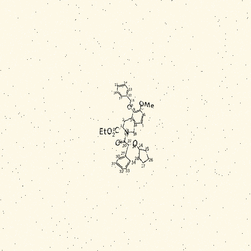 CCOC(=O)[C@@H]1Cc2c(ccc(OC)c2OCc2ccccc2)CN1C(=O)[C@H](OC1CCCC1)c1ccccc1